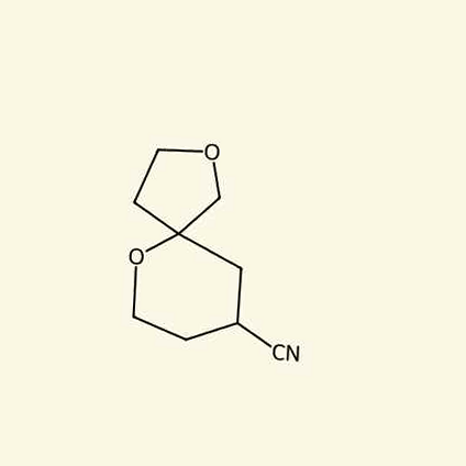 N#CC1CCOC2(CCOC2)C1